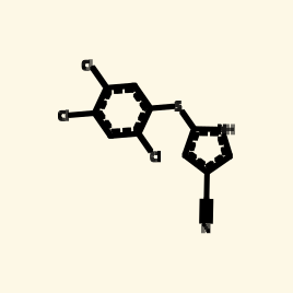 N#Cc1c[nH]c(Sc2cc(Cl)c(Cl)cc2Cl)c1